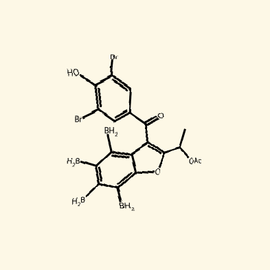 Bc1c(B)c(B)c2c(C(=O)c3cc(Br)c(O)c(Br)c3)c(C(C)OC(C)=O)oc2c1B